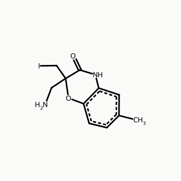 Cc1ccc2c(c1)NC(=O)C(CN)(CI)O2